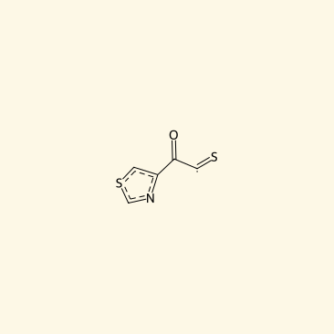 O=C([C]=S)c1cscn1